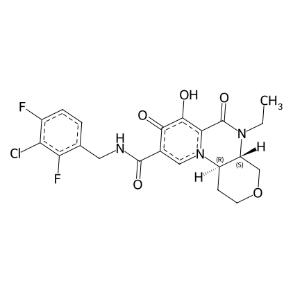 CCN1C(=O)c2c(O)c(=O)c(C(=O)NCc3ccc(F)c(Cl)c3F)cn2[C@@H]2CCOC[C@H]21